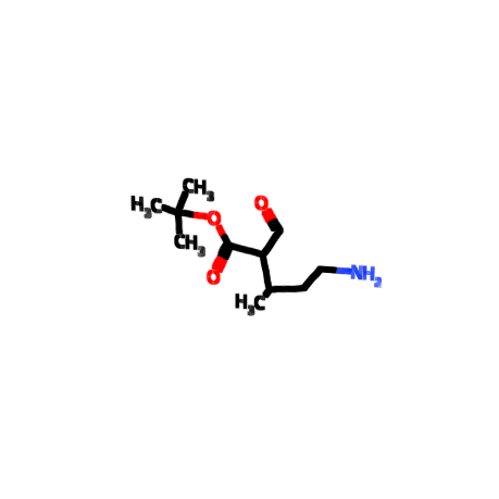 CC(CCN)C(C=O)C(=O)OC(C)(C)C